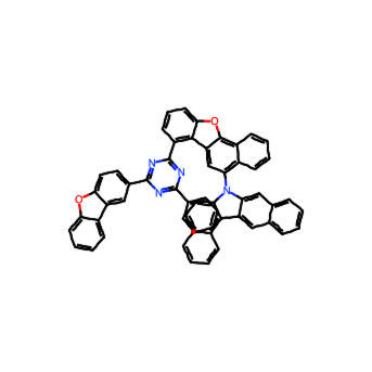 c1ccc(-c2nc(-c3ccc4oc5ccccc5c4c3)nc(-c3cccc4oc5c6ccccc6c(-n6c7cc8ccccc8cc7c7c8ccccc8ccc76)cc5c34)n2)cc1